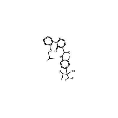 O=C(Nc1ccc(C(O)(C(F)F)C(F)F)cc1F)c1ccnn(-c2ccccc2OCC(F)F)c1=O